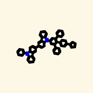 C1=CCC(c2ccc(-c3c(-c4ccccc4)cc(-n4c5ccccc5c5cc(-c6ccc7c(c6)c6ccccc6n7-c6ccccc6)ccc54)cc3-c3ccccc3)cc2)=C1